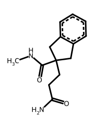 CNC(=O)C1(CCC(N)=O)Cc2ccccc2C1